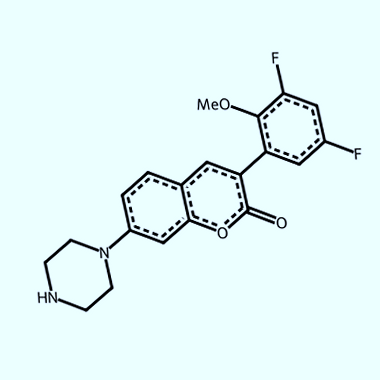 COc1c(F)cc(F)cc1-c1cc2ccc(N3CCNCC3)cc2oc1=O